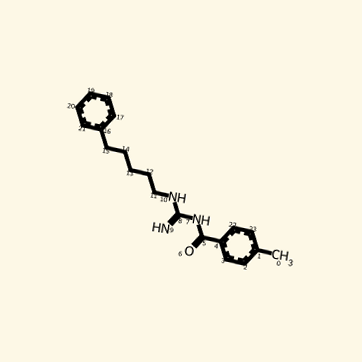 Cc1ccc(C(=O)NC(=N)NCCCCCc2ccccc2)cc1